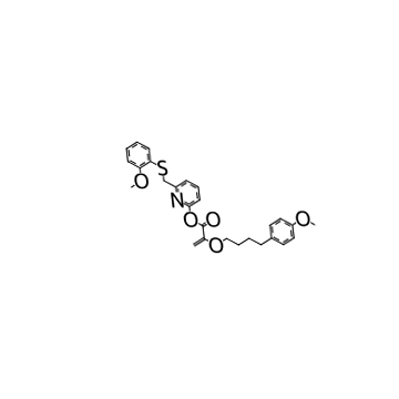 C=C(OCCCCc1ccc(OC)cc1)C(=O)Oc1cccc(CSc2ccccc2OC)n1